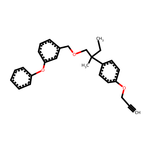 C#CCOc1ccc(C(C)(CC)COCc2cccc(Oc3ccccc3)c2)cc1